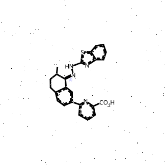 CC1CCc2ccc(-c3cccc(C(=O)O)n3)cc2/C1=N/Nc1nc2ccccc2s1